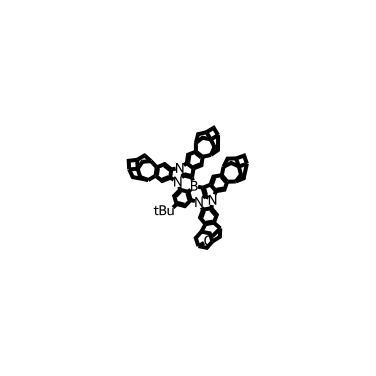 CC(C)(C)c1cc2c3c(c1)-n1c4cc5c(cc4n4c6cc7c(cc6c(c14)B3c1c3cc4c(cc3n3c6cc8c(cc6n-2c13)C1CC2CC(C1)CC8C2)C1CC2CC3CC4CC32C1)C1CC2CC3CC7CC23C1)C1CC2CC3CC5CC32C1